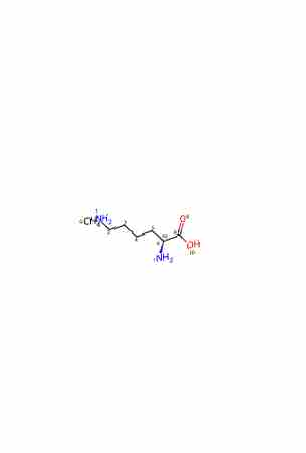 C.NCCCC[C@H](N)C(=O)O